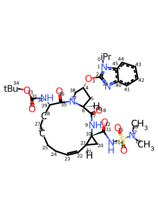 CC(C)n1c(O[C@@H]2C[C@H]3C(=O)N[C@]4(C(=O)NS(=O)(=O)N(C)C)C[C@H]4/C=C\CCCCC[C@H](NC(=O)OC(C)(C)C)C(=O)N3C2)nc2ccccc21